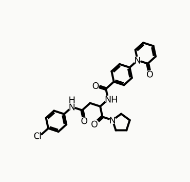 O=C(CC(NC(=O)c1ccc(-n2ccccc2=O)cc1)C(=O)N1CCCC1)Nc1ccc(Cl)cc1